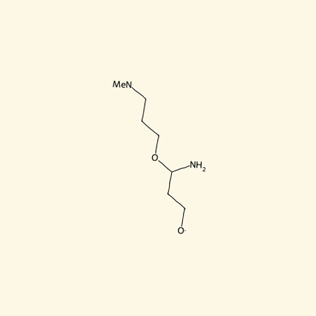 CNCCCOC(N)CC[O]